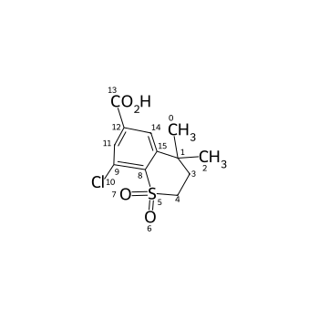 CC1(C)CCS(=O)(=O)c2c(Cl)cc(C(=O)O)cc21